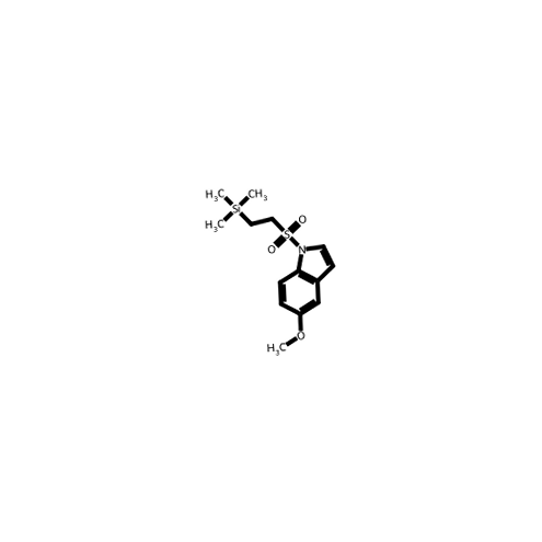 COc1ccc2c(ccn2S(=O)(=O)CC[Si](C)(C)C)c1